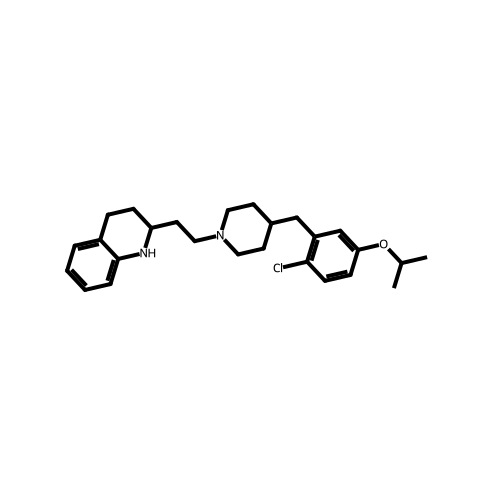 CC(C)Oc1ccc(Cl)c(CC2CCN(CCC3CCc4ccccc4N3)CC2)c1